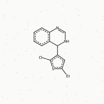 CCc1cc(C2NC=Nc3ccccc32)c(Cl)s1